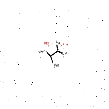 Br.Br.[CH2]C(NC)C(CCCCC)NC